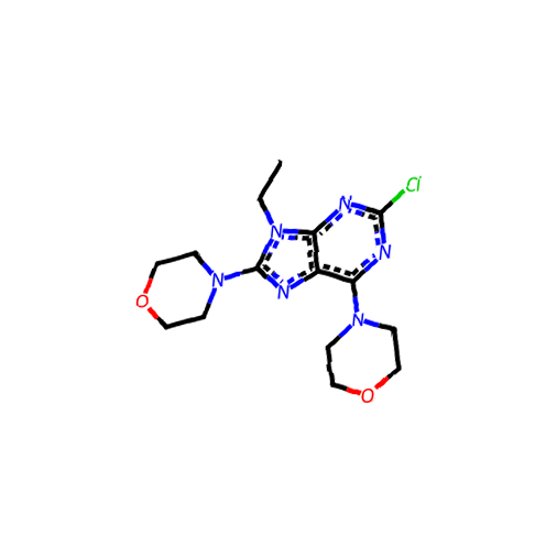 CCn1c(N2CCOCC2)nc2c(N3CCOCC3)nc(Cl)nc21